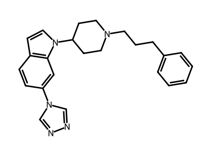 c1ccc(CCCN2CCC(n3ccc4ccc(-n5cnnc5)cc43)CC2)cc1